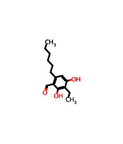 CCCCCCc1cc(O)c(CC)c(O)c1C=O